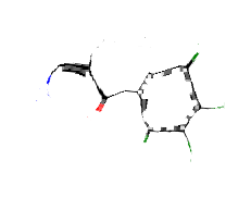 CCOC(=O)/C(=C/N)C(=O)c1cc(F)c(F)c(F)c1F